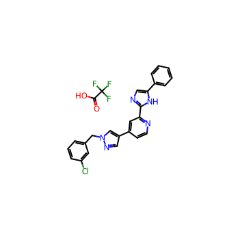 Clc1cccc(Cn2cc(-c3ccnc(-c4ncc(-c5ccccc5)[nH]4)c3)cn2)c1.O=C(O)C(F)(F)F